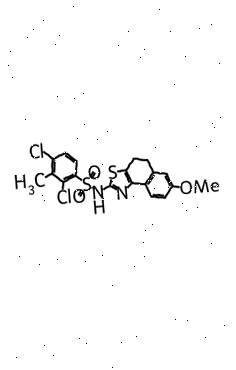 COc1ccc2c(c1)CCc1sc(NS(=O)(=O)c3ccc(Cl)c(C)c3Cl)nc1-2